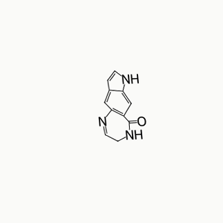 O=C1NCC=Nc2cc3cc[nH]c3cc21